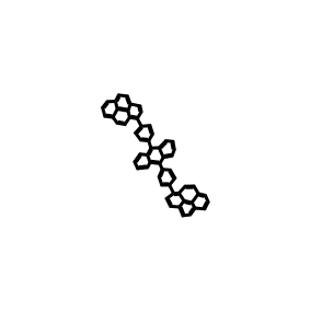 c1cc2ccc3ccc(-c4ccc(-c5c6ccccc6c(-c6ccc(-c7ccc8ccc9cccc%10ccc7c8c9%10)cc6)c6ccccc56)cc4)c4ccc(c1)c2c34